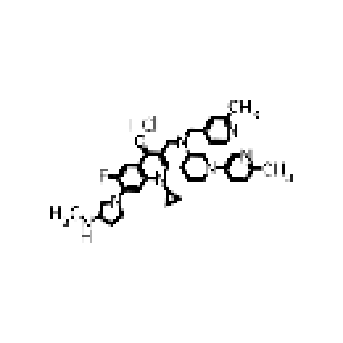 CN[C@@H]1CCN(c2cc3c(cc2F)c(=O)c(CN(Cc2ccnc(C)c2)[C@H]2CCCN(c4ccc(C)nc4)C2)cn3C2CC2)C1.Cl